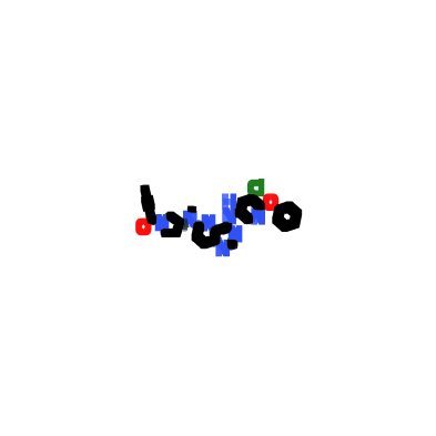 CC#CC(=O)N1CC[C@H](N(C)c2ccc3ncnc(Nc4cnc(Oc5ccccc5)c(Cl)c4)c3n2)C1